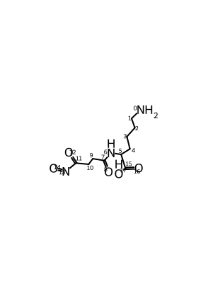 NCCCCC(NC(=O)CCC(=O)N=O)C(=O)O